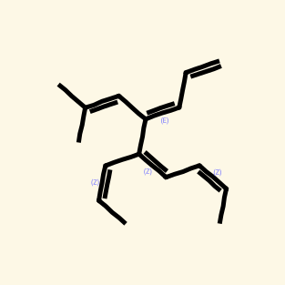 C=C/C=C(C=C(C)C)/C(/C=C\C)=C\C=C/C